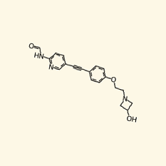 O=CNc1ccc(C#Cc2ccc(OCCN3CC(O)C3)cc2)cn1